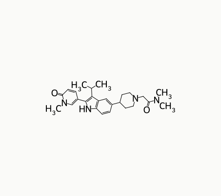 CC(C)c1c(-c2ccc(=O)n(C)c2)[nH]c2ccc(C3CCN(CC(=O)N(C)C)CC3)cc12